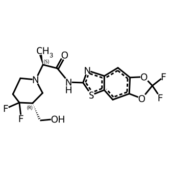 C[C@@H](C(=O)Nc1nc2cc3c(cc2s1)OC(F)(F)O3)N1CCC(F)(F)[C@@H](CO)C1